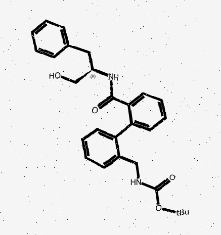 CC(C)(C)OC(=O)NCc1ccccc1-c1ccccc1C(=O)N[C@@H](CO)Cc1ccccc1